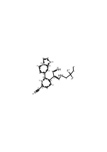 CCC(F)(F)CN/C=C(\C=N)c1ccc(C#N)nc1-c1ccn2ccnc2c1